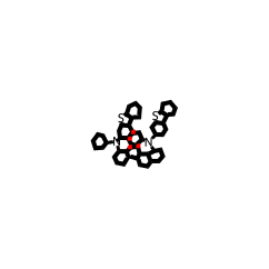 c1ccc(N(c2ccc3c(c2)sc2ccccc23)c2cccc3c2ccc2c3ccc3cccc(N(c4ccccc4)c4ccc5c(c4)sc4ccccc45)c32)cc1